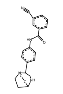 N#Cc1cccc(C(=O)Nc2ccc(C3CNC4CCN3CC4)cc2)c1